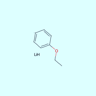 CCOc1cc[c]cc1.[LiH]